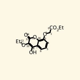 CCOC(=O)COc1cccc2c(O)c(OCC)c(=O)oc12